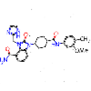 COc1cc(NC(=O)C2CCC(n3c(=O)n(Cc4ncc[nH]4)c4c(C(N)=O)cccc43)CC2)ccc1C